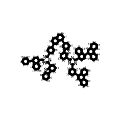 c1ccc(-c2ccc(-c3nc(-c4ccc(-c5ccc6cccc(-c7ccc8sc9c(-c%10nc(-c%11cccc(-c%12cc%13ccccc%13c%13ccccc%12%13)c%11)nc(-c%11ccc(-c%12cc%13ccccc%13c%13ccccc%12%13)c%12ccccc%11%12)n%10)cccc9c8c7)c6c5)cc4)nc(-c4cccc5c4sc4ccccc45)n3)c3ccccc23)cc1